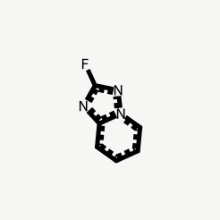 Fc1nc2ccccn2n1